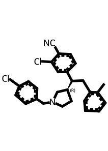 Cc1ccccc1CC(c1ccc(C#N)c(Cl)c1)[C@H]1CCN(Cc2ccc(Cl)cc2)C1